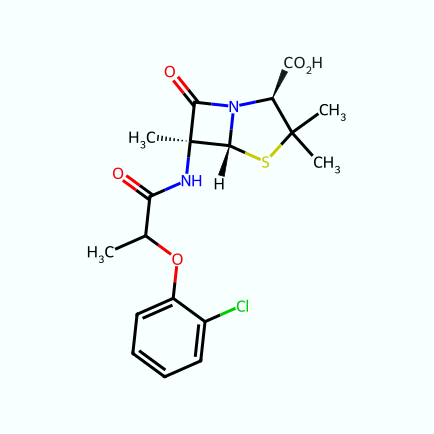 CC(Oc1ccccc1Cl)C(=O)N[C@@]1(C)C(=O)N2[C@@H](C(=O)O)C(C)(C)S[C@@H]21